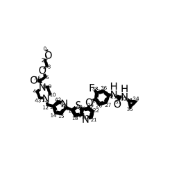 COCCOCC(=O)N1CCN(Cc2ccc(-c3cc4nccc(Oc5ccc(NC(=O)NC6CC6)cc5F)c4s3)nc2)CC1